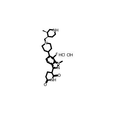 C[C@H]1CNCC[C@H]1CN1CCC(c2ccc3c(C4CCC(=O)NC4=O)nn(C)c3c2F)CC1.Cl.Cl